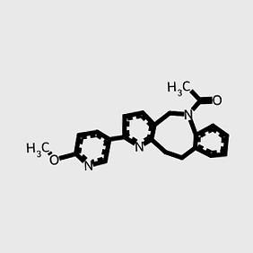 COc1ccc(-c2ccc3c(n2)CCc2ccccc2N(C(C)=O)C3)cn1